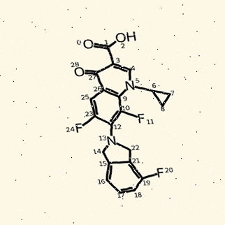 O=C(O)c1cn(C2CC2)c2c(F)c(N3Cc4cccc(F)c4C3)c(F)cc2c1=O